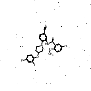 COc1ccc(C)cc1C(=O)Nc1cc(C#N)ccc1N1CCC(Oc2ccc(F)cc2F)CC1